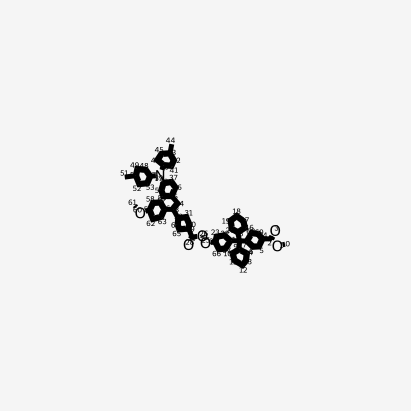 COC(=O)c1ccc(C(c2ccccc2)(c2ccccc2)c2ccc(OOC(=O)c3ccc(C(=Cc4ccc(N(c5ccc(C)cc5)c5ccc(C)cc5)cc4)c4ccc(OC)cc4)cc3)cc2)cc1